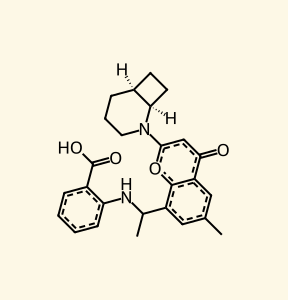 Cc1cc(C(C)Nc2ccccc2C(=O)O)c2oc(N3CCC[C@H]4CC[C@H]43)cc(=O)c2c1